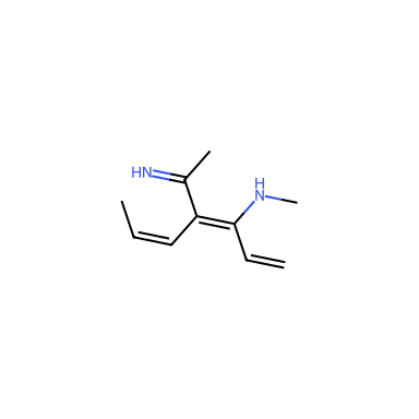 C=C/C(NC)=C(\C=C/C)C(C)=N